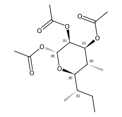 CC[C@H](C)[C@H]1O[C@H](OC(C)=O)[C@@H](OC(C)=O)[C@@H](OC(C)=O)[C@@H]1C